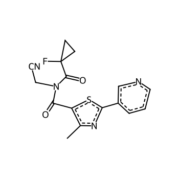 Cc1nc(-c2cccnc2)sc1C(=O)N(CC#N)C(=O)C1(F)CC1